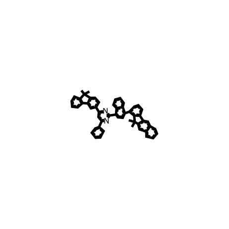 CC1(C)c2ccccc2-c2cc(-c3cc(-c4ccccc4)nc(-c4ccc(-c5cccc6c5C(C)(C)c5cc7ccccc7cc5-6)c5ccccc45)n3)ccc21